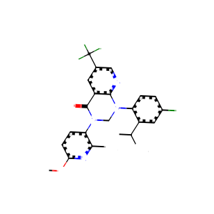 COc1ccc(N2CN(c3ccc(F)cc3C(C)C)c3ncc(C(F)(F)F)cc3C2=O)c(C)n1